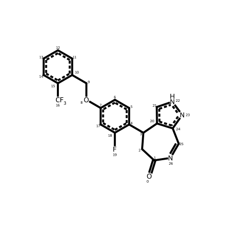 O=C1CC(c2ccc(OCc3ccccc3C(F)(F)F)cc2F)c2c[nH]nc2C=N1